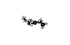 O=C(NC1(C(=O)NCCC(F)(F)F)CC1)c1ccc(/C=C/C(c2cc(Br)cc(Br)c2)C(F)(F)F)cc1Br